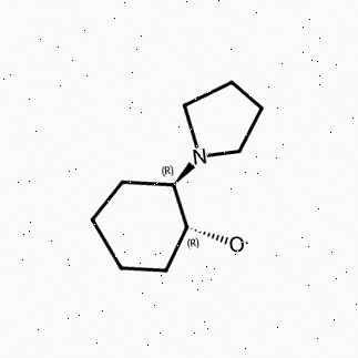 [O][C@@H]1CCCC[C@H]1N1CCCC1